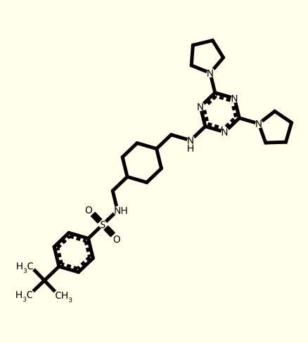 CC(C)(C)c1ccc(S(=O)(=O)NCC2CCC(CNc3nc(N4CCCC4)nc(N4CCCC4)n3)CC2)cc1